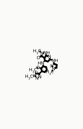 COc1c(Nc2cc(Nc3ccn(C)n3)nc3[nH]n(C)c(=O)c23)cccc1-c1nnn(C)n1